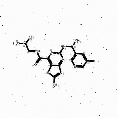 Cc1nc2nc(N[C@@H](C)c3cncc(F)c3)nc(C(=O)NC[C@@H](C)O)c2s1